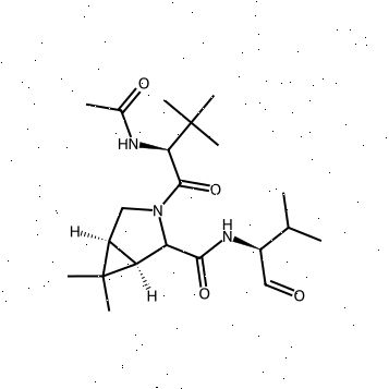 CC(=O)N[C@H](C(=O)N1C[C@H]2[C@@H](C1C(=O)N[C@H](C=O)C(C)C)C2(C)C)C(C)(C)C